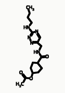 CCCCNc1ncc(CNC(=O)C2CCC(OC(C)=O)CC2)nn1